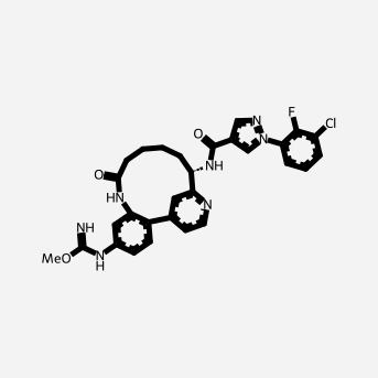 COC(=N)Nc1ccc2c(c1)NC(=O)CCCC[C@H](NC(=O)c1cnn(-c3cccc(Cl)c3F)c1)c1cc-2ccn1